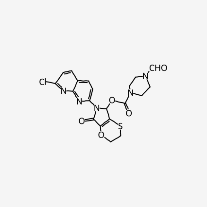 O=CN1CCN(C(=O)OC2C3=C(OCCS3)C(=O)N2c2ccc3ccc(Cl)nc3n2)CC1